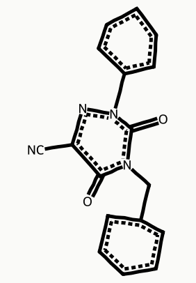 N#Cc1nn(-c2ccccc2)c(=O)n(Cc2ccccc2)c1=O